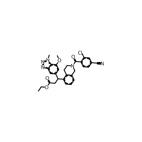 CCOC(=O)CC(c1cc(OC)c2c(c1)nnn2C)c1cccc2c1CCN(C(=O)c1ccc(C#N)cc1Cl)C2